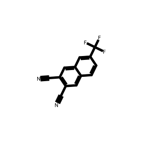 N#Cc1cc2ccc(C(F)(F)F)cc2cc1C#N